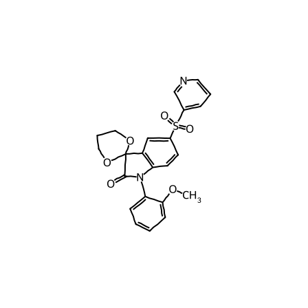 COc1ccccc1N1C(=O)C2(OCCCO2)c2cc(S(=O)(=O)c3cccnc3)ccc21